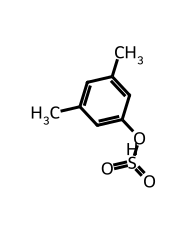 Cc1cc(C)cc(O[SH](=O)=O)c1